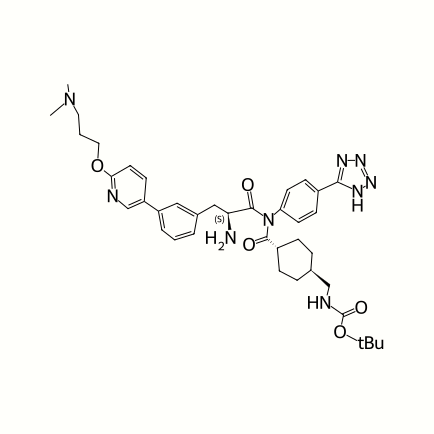 CN(C)CCCOc1ccc(-c2cccc(C[C@H](N)C(=O)N(c3ccc(-c4nnn[nH]4)cc3)C(=O)[C@H]3CC[C@H](CNC(=O)OC(C)(C)C)CC3)c2)cn1